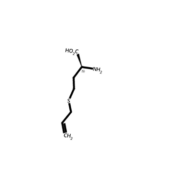 C=CCSCC[C@H](N)C(=O)O